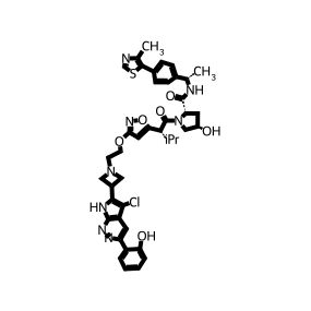 Cc1ncsc1-c1ccc([C@H](C)NC(=O)[C@@H]2C[C@@H](O)CN2C(=O)[C@@H](c2cc(OCCN3CC(c4[nH]c5nnc(-c6ccccc6O)cc5c4Cl)C3)no2)C(C)C)cc1